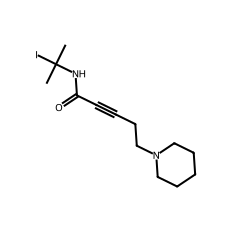 CC(C)(I)NC(=O)C#CCCN1CCCCC1